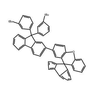 CC(C)(C)c1cccc(C2(c3cccc(C(C)(C)C)c3)c3ccccc3-c3ccc(-c4ccc5c(c4)C4(c6ccccc6O5)c5ccccc5-c5ccccc54)cc32)c1